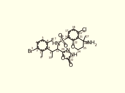 Cc1c(Br)ccc(F)c1C(C)C(NS(=O)(=O)c1ccc(Cl)c2c1OCCC2(C)N)c1n[nH]c(=O)o1